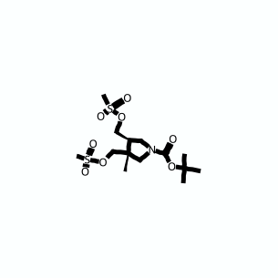 CC(C)(C)OC(=O)N1C[C@H](COS(C)(=O)=O)[C@@](C)(COS(C)(=O)=O)C1